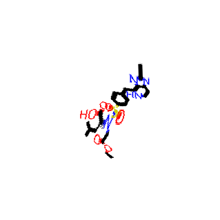 CCOC(=O)CN([C@@H](CC(C)C)C(=O)O)S(=O)(=O)c1ccc(Cc2[nH]ccc3nc(C)nc2-3)cc1